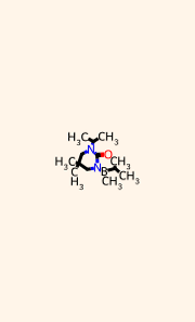 CB(C(C)C)N1CC(C)(C)CN(C(C)C)C1=O